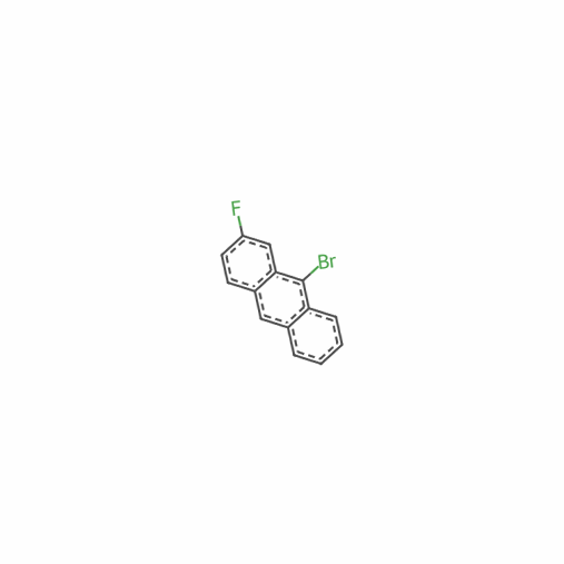 Fc1ccc2cc3ccccc3c(Br)c2c1